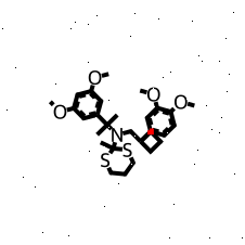 COc1cc(OC)cc(C(C)(C)N(CC2(c3ccc(OC)c(OC)c3)CCC2)C2(C)SCCCS2)c1